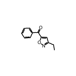 CCc1cc(C(=O)c2ccccc2)on1